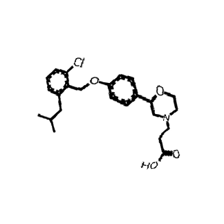 CC(C)Cc1cccc(Cl)c1COc1ccc(C2CN(CCC(=O)O)CCO2)cc1